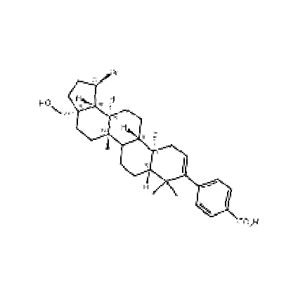 CC(C)[C@@H]1CC[C@]2(CO)CC[C@@]3(C)C4CC[C@H]5C(C)(C)C(c6ccc(C(=O)O)cc6)=CC[C@]5(C)[C@H]4CC[C@@H]3[C@@H]12